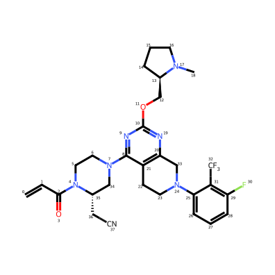 C=CC(=O)N1CCN(c2nc(OC[C@H]3CCCN3C)nc3c2CCN(c2cccc(F)c2C(F)(F)F)C3)C[C@@H]1CC#N